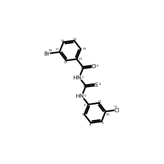 O=C(NC(=S)Nc1cccc(Cl)c1)c1cccc(Br)c1